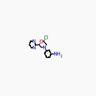 Nc1cccc(N2CC(Cl)OC(c3ncccn3)C2)c1